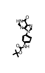 CC(C)(C)OC(=O)Nc1ccc(-n2cnc3c(=O)[nH]cnc32)cc1